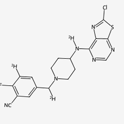 [2H]c1cc(C([2H])N2CCC(N([2H])c3ncnc4sc(Cl)nc34)CC2)cc(C#N)c1F